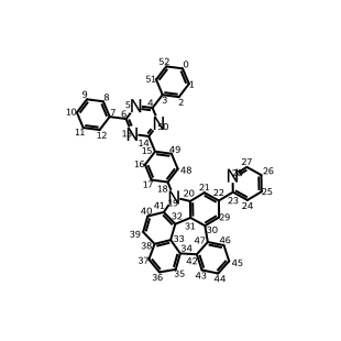 c1ccc(-c2nc(-c3ccccc3)nc(-c3ccc(-n4c5cc(-c6ccccn6)cc6c5c5c7c(cccc7ccc54)-c4ccccc4-6)cc3)n2)cc1